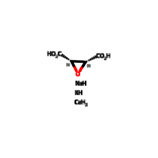 O=C(O)[C@H]1O[C@H]1C(=O)O.[CaH2].[KH].[NaH]